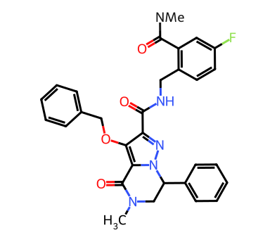 CNC(=O)c1cc(F)ccc1CNC(=O)c1nn2c(c1OCc1ccccc1)C(=O)N(C)CC2c1ccccc1